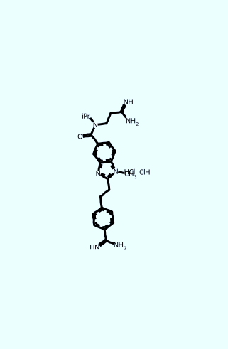 CC(C)N(CCC(=N)N)C(=O)c1ccc2c(c1)nc(CCc1ccc(C(=N)N)cc1)n2C.Cl.Cl